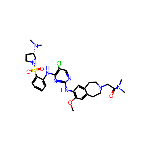 COc1cc2c(cc1Nc1ncc(Cl)c(Nc3ccccc3S(=O)(=O)N3CC[C@H](N(C)C)C3)n1)CCN(CC(=O)N(C)C)CC2